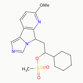 COc1ccc2c(n1)C(CC(OS(C)(=O)=O)C1CCCCC1)n1cncc1-2